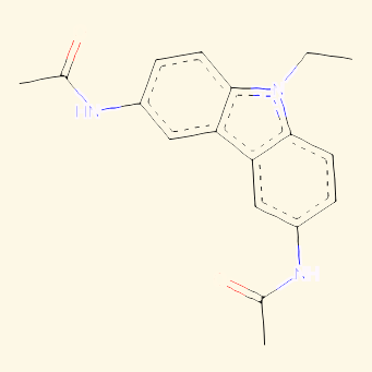 CCn1c2ccc(NC(C)=O)cc2c2cc(NC(C)=O)ccc21